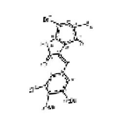 COc1c(Cl)cc(C=C2C(=O)Nc3c(Br)cc(Br)c(C)c32)cc1C(C)(C)C